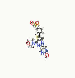 COc1ncc(-c2nc(N3CCOCC3)c3sc(-c4cccc(C[SH](=O)=O)c4)cc3n2)cn1